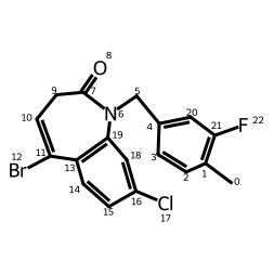 Cc1ccc(CN2C(=O)CC=C(Br)c3ccc(Cl)cc32)cc1F